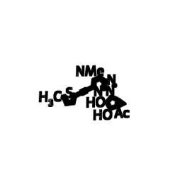 CNc1cc(C#Cc2ccc(C)s2)nc2c1ncn2[C@@H]1C2C[C@]2(C(C)=O)C(O)[C@H]1O